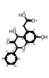 O=C(O)Cc1cc(O)cc2c1C(O)C(=O)C(c1ccccc1)O2